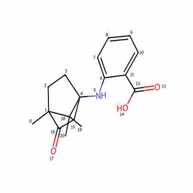 CC12CCC(Nc3ccccc3C(=O)O)(CC1=O)C2(C)C